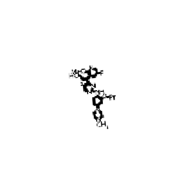 COc1ncc(F)cc1-c1c(CO)sc2cnc(Nc3ccc(N4CCN(C)CC4)cc3OC(C)C)nc12